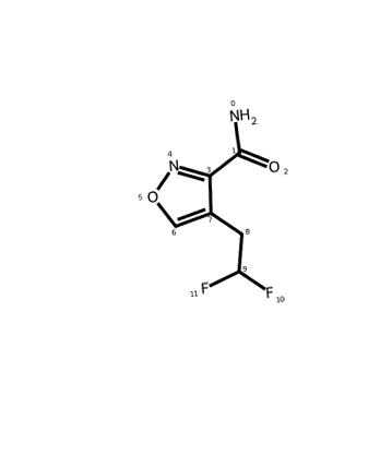 NC(=O)c1nocc1CC(F)F